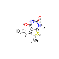 CCCc1sc2c(c1CC(=O)O)c(=O)[nH]c(=O)n2C